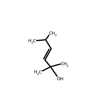 CC(C)C=CC(C)(C)O